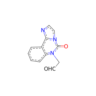 O=CCn1c(=O)n2ccnc2c2ccccc21